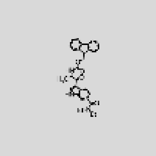 CCN(CC)C(=O)c1ccc2c(C(=O)[C@@H](C)NC(=O)OCC3c4ccccc4-c4ccccc43)c[nH]c2c1